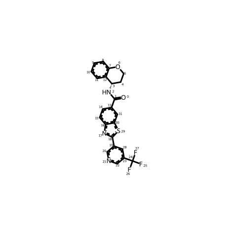 O=C(N[C@H]1CCOc2ccccc21)c1ccc2nc(-c3cncc(C(F)(F)F)c3)sc2c1